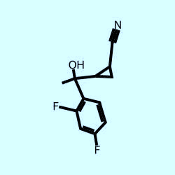 CC(O)(c1ccc(F)cc1F)C1CC1C#N